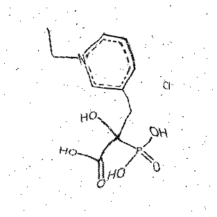 CC[n+]1cccc(CC(O)(C(=O)O)P(=O)(O)O)c1.[Cl-]